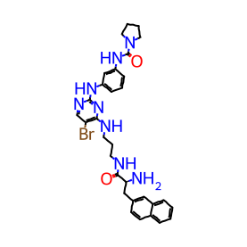 N[C@@H](Cc1ccc2ccccc2c1)C(=O)NCCCNc1nc(Nc2cccc(NC(=O)N3CCCC3)c2)ncc1Br